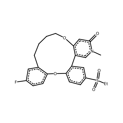 CCS(=O)(=O)c1ccc2c(c1)-c1cn(C)c(=O)cc1OCCCCc1cc(F)ccc1O2